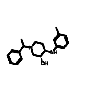 Cc1cccc(N[C@@H]2CCN(C(C)c3ccccc3)C[C@H]2O)c1